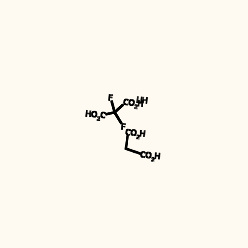 O=C(O)C(F)(F)C(=O)O.O=C(O)CC(=O)O.[LiH]